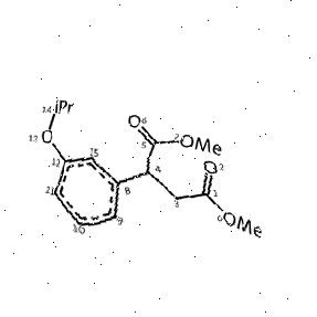 COC(=O)CC(C(=O)OC)c1cccc(OC(C)C)c1